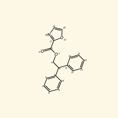 O=C(OCC(c1ccccc1)c1ccccc1)c1ncco1